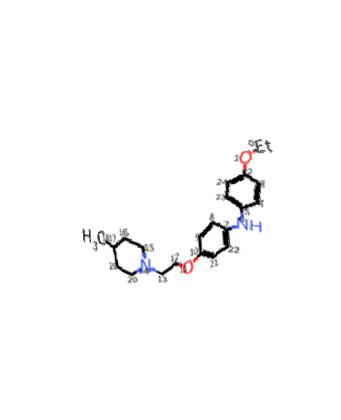 CCOc1ccc(Nc2ccc(OCCN3CCC(C)CC3)cc2)cc1